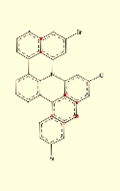 Clc1cc(Oc2cccc(Br)c2)cc(N(c2cccc(Br)c2)c2c(-c3ccccc3)cccc2-c2ccccc2)c1